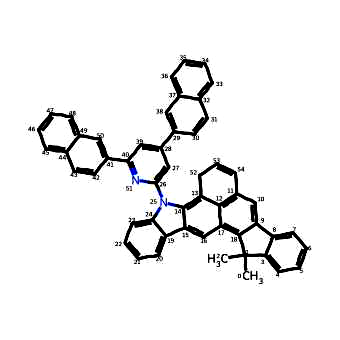 CC1(C)c2ccccc2-c2cc3c4c(c5c(cc4c21)c1ccccc1n5-c1cc(-c2ccc4ccccc4c2)cc(-c2ccc4ccccc4c2)n1)CC=C3